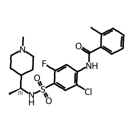 Cc1ccccc1C(=O)Nc1cc(F)c(S(=O)(=O)N[C@@H](C)C2CCN(C)CC2)cc1Cl